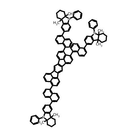 CC12CCCCC1(C)N(c1ccccc1)c1ccc(-c3cccc4c(-c5ccc6c7cc8c(cc7c7cccc5c76)c5ccc(-c6cccc7c(-c9ccc%10c(c9)C9(C)CCCCC9(C)N%10c9ccccc9)cccc67)c6c(-c7cccc9c(-c%10ccc%11c(c%10)C%10(C)CCCCC%10(C)N%11c%10ccccc%10)cccc79)ccc8c65)cccc34)cc12